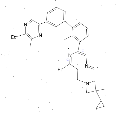 C=N/C=C(\N=C(\CC)CCN1CC(C)(C2CC2)C1)c1cccc(-c2cccc(-c3cnc(CC)c(C)n3)c2C)c1C